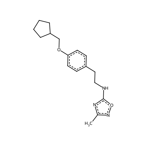 Cc1noc(NCCc2ccc(OCC3CCCC3)cc2)n1